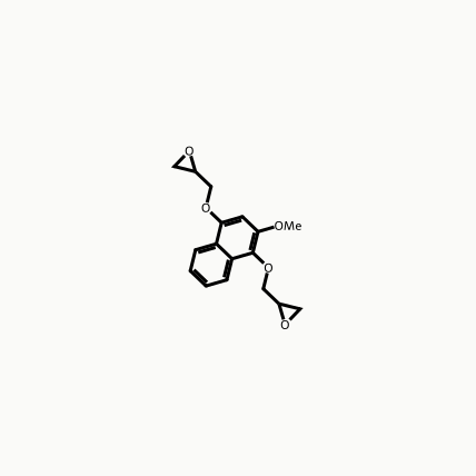 COc1cc(OCC2CO2)c2ccccc2c1OCC1CO1